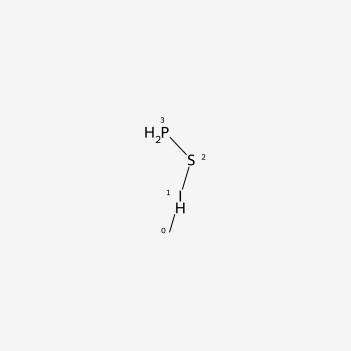 C[IH]SP